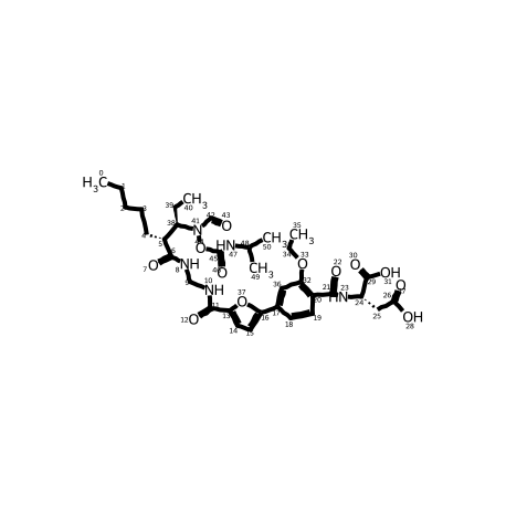 CCCCC[C@@H](C(=O)NCNC(=O)c1ccc(-c2ccc(C(=O)N[C@@H](CC(=O)O)C(=O)O)c(OCC)c2)o1)[C@@H](CC)N(C=O)OC(=O)NC(C)C